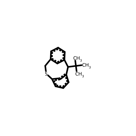 CC(C)(C)C1c2cccc(c2)CSc2cccc1c2